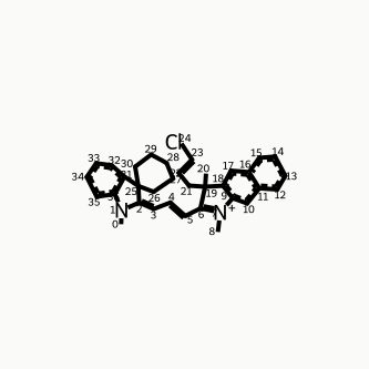 CN1/C(=C/C=C/C2=[N+](C)c3cc4ccccc4cc3C2(C)C/C=C/Cl)C2(CCCCC2)c2ccccc21